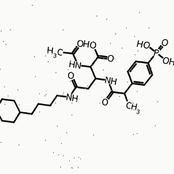 CC(=O)NC(C(=O)O)C(CC(=O)NCCCCC1CCCCC1)NC(=O)C(C)c1ccc(P(=O)(O)O)cc1